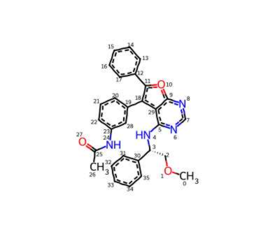 COC[C@@H](Nc1ncnc2oc(-c3ccccc3)c(-c3cccc(NC(C)=O)c3)c12)c1ccccc1